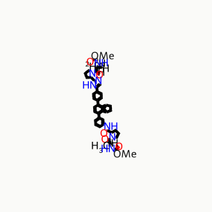 [2H]C([2H])([2H])[C@]([2H])(NC(=O)OC)C(=O)N1CCCC1c1ncc(-c2ccc(-c3ccc(-c4cccc(NC(=O)C5CCCN5C(=O)[C@]([2H])(C)NC(=O)OC)c4)c4c3C3CCC4C3)cc2)[nH]1